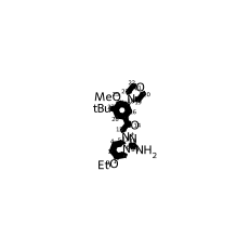 CCOc1ccc2n(c1)c(N)n[n+]2CC(=O)c1cc(N2CCOCC2)c(OC)c(C(C)(C)C)c1